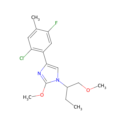 CCC(COC)n1cc(-c2cc(F)c(C)cc2Cl)nc1OC